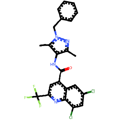 Cc1nn(Cc2ccccc2)c(C)c1NC(=O)c1cc(C(F)(F)F)nc2c(Cl)cc(Cl)cc12